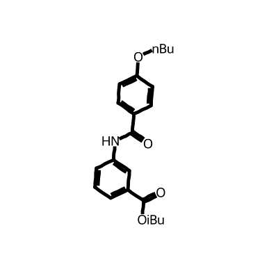 CCCCOc1ccc(C(=O)Nc2cccc(C(=O)OCC(C)C)c2)cc1